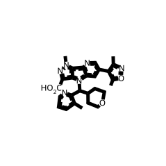 Cc1cccnc1C(C1CCOCC1)n1c2cc(-c3c(C)noc3C)cnc2c2c1c(C(=O)O)nn2C